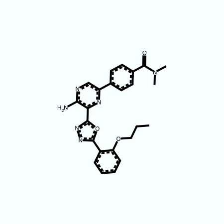 CCCOc1ccccc1-c1nnc(-c2nc(-c3ccc(C(=O)N(C)C)cc3)cnc2N)o1